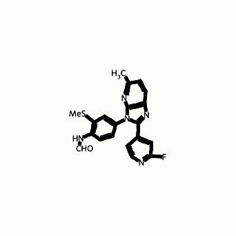 CSc1cc(-n2c(-c3ccnc(F)c3)nc3ccc(C)nc32)ccc1NC=O